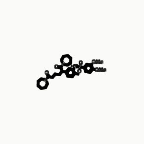 COc1ccc(S(=O)(=O)Nc2cc(C(CCCC(=O)N3CCCCCC3)C(=O)N3CCCCCC3)ccc2C)cc1OC